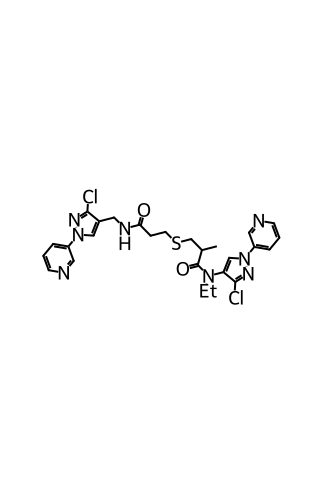 CCN(C(=O)C(C)CSCCC(=O)NCc1cn(-c2cccnc2)nc1Cl)c1cn(-c2cccnc2)nc1Cl